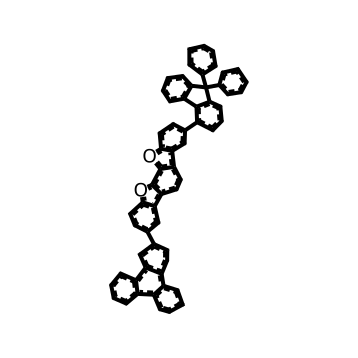 c1ccc(C2(c3ccccc3)c3ccccc3-c3c(-c4ccc5oc6c(ccc7c8cc(-c9ccc%10c%11ccccc%11c%11ccccc%11c%10c9)ccc8oc76)c5c4)cccc32)cc1